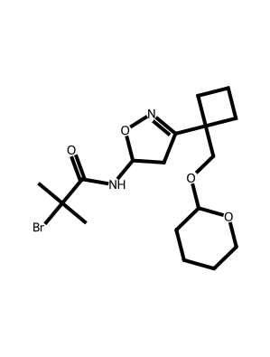 CC(C)(Br)C(=O)NC1CC(C2(COC3CCCCO3)CCC2)=NO1